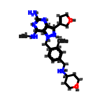 CCCCNc1nc(N)nc2c(C3=CCOC3)nn(Cc3ccc(CNC4CCOCC4)cc3OC)c12